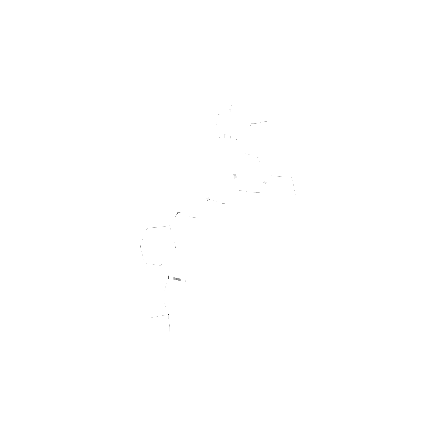 CCc1cc(NC(=O)NC[C@@H]2CCCN(C(=O)OC(C)(C)C)C2)cc(-c2nnnn2C)c1